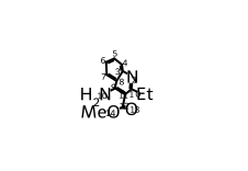 CCc1nc2ccccc2c(N)c1C(=O)OC